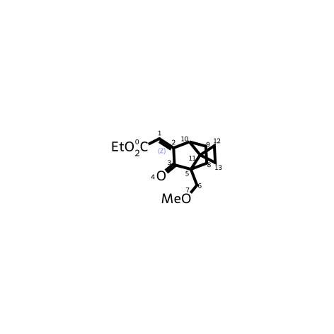 CCOC(=O)/C=C1\C(=O)C2(COC)CCC1C21CC1